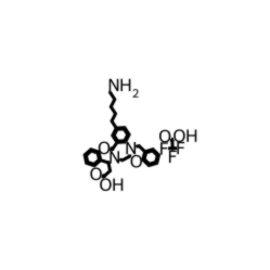 NCCCCCc1ccc2c(c1)C(=O)N(C(CC(=O)O)c1ccccc1)CC(=O)N2Cc1ccccc1.O=C(O)C(F)(F)F